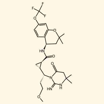 COCC[C@H]([C@@H]1C[C@H]1C(=O)N[C@@H]1CC(C)(C)Oc2cc(OC(F)(F)F)ccc21)N1C(=N)NC(C)(C)CC1=O